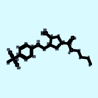 CCCCOC(=O)N1CC(O)C(COc2ccc(S(C)(=O)=O)cc2)C1